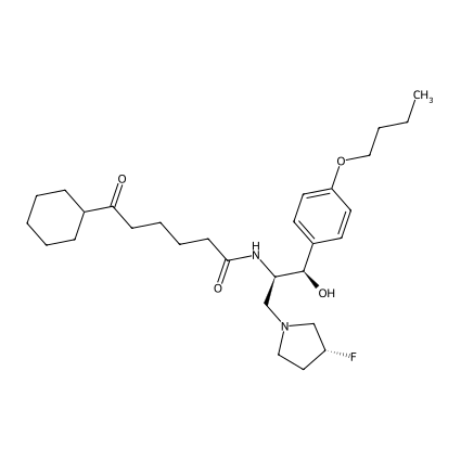 CCCCOc1ccc([C@@H](O)[C@@H](CN2CC[C@@H](F)C2)NC(=O)CCCCC(=O)C2CCCCC2)cc1